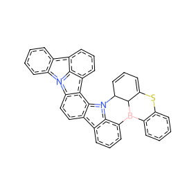 C1=CC2C3B(c4ccccc4SC3=C1)c1cccc3c4ccc5c(c6cccc7c8ccccc8n5c76)c4n2c13